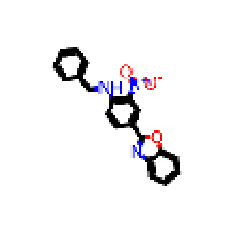 O=[N+]([O-])c1cc(-c2nc3ccccc3o2)ccc1NCc1ccccc1